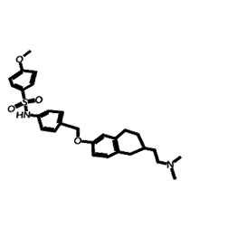 COc1ccc(S(=O)(=O)Nc2ccc(COc3ccc4c(c3)CCC(CCN(C)C)C4)cc2)cc1